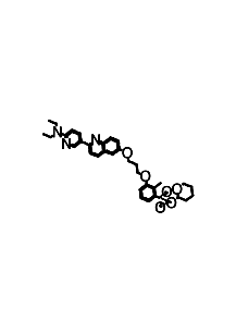 CCN(CC)c1ccc(-c2ccc3cc(OCCCOc4cccc(S(=O)(=O)OC5CCCCO5)c4C)ccc3n2)cn1